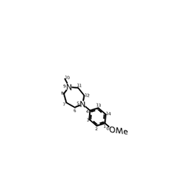 COc1ccc(N2CCCN(C)CC2)cc1